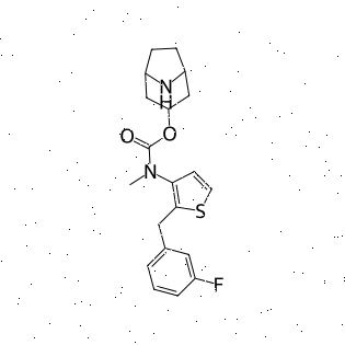 CN(C(=O)OC1CC2CCC(C1)N2)c1ccsc1Cc1cccc(F)c1